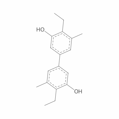 CCc1c(C)cc(-c2cc(C)c(CC)c(O)c2)cc1O